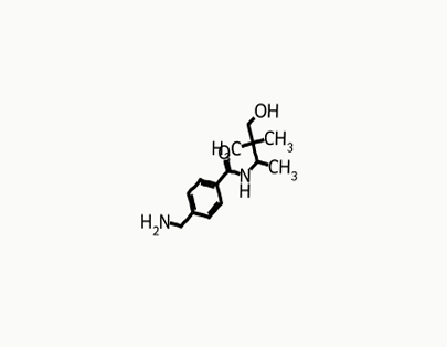 CC(NC(=O)c1ccc(CN)cc1)C(C)(C)CO